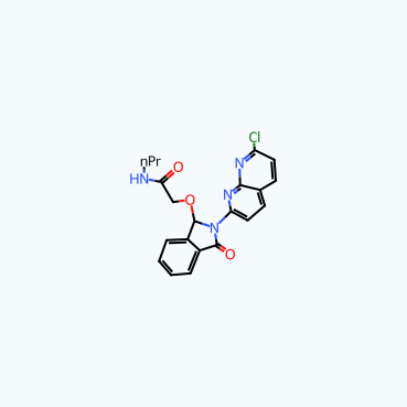 CCCNC(=O)COC1c2ccccc2C(=O)N1c1ccc2ccc(Cl)nc2n1